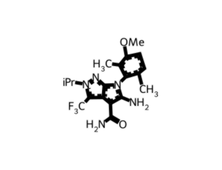 COc1ccc(C)c(-n2c(N)c(C(N)=O)c3c(C(F)(F)F)n(C(C)C)nc32)c1C